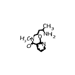 CC(N)CC1CN(C)C(=O)c2cccnc2O1